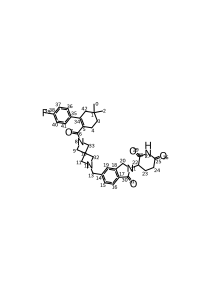 CC1(C)CCC(C(=O)N2CC3(CN(Cc4ccc5c(c4)CN(C4CCC(=O)NC4=O)C5=O)C3)C2)=C(c2ccc(F)cc2)C1